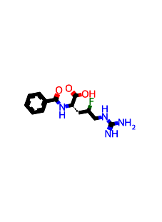 N=C(N)NCC(F)C[C@H](NC(=O)c1ccccc1)C(=O)O